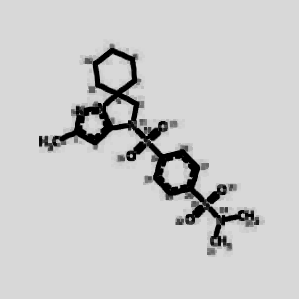 Cc1cc2n(n1)C1(CCCCC1)CN2S(=O)(=O)c1ccc(S(=O)(=O)N(C)C)cc1